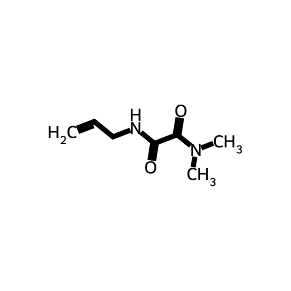 C=CCNC(=O)C(=O)N(C)C